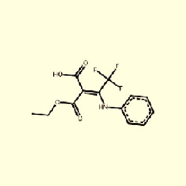 CCOC(=O)C(C(=O)O)=C(Nc1ccccc1)C(F)(F)F